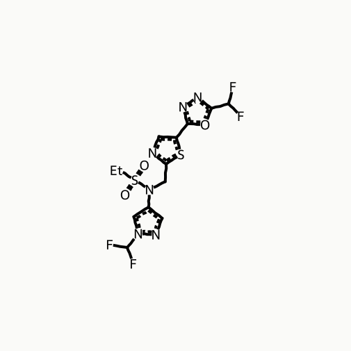 CCS(=O)(=O)N(Cc1ncc(-c2nnc(C(F)F)o2)s1)c1cnn(C(F)F)c1